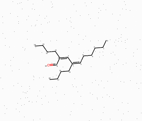 CCCCCC=C(C=C(C=O)CCCC)CCCC